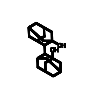 OC12CC3CC(CC(C3)C1C1C3CC4CC(C3)CC1(O)C4)C2